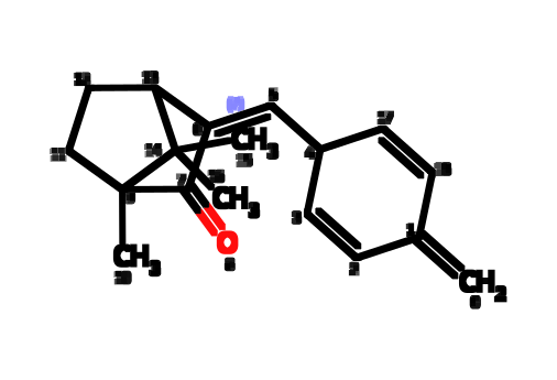 C=C1C=CC(/C=C2\C(=O)C3(C)CCC2C3(C)C)C=C1